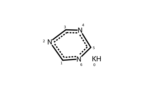 [KH].c1ncncn1